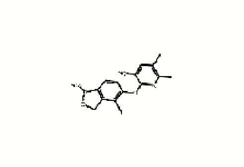 Cc1cc(C#N)c(Oc2ccc3c(c2C)COB3O)nc1C